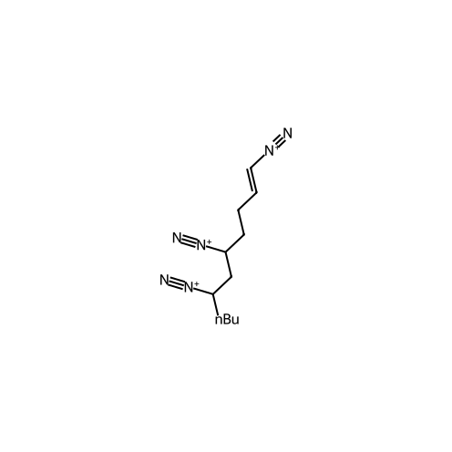 CCCCC(CC(CCC=C[N+]#N)[N+]#N)[N+]#N